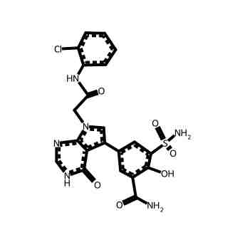 NC(=O)c1cc(-c2cn(CC(=O)Nc3ccccc3Cl)c3nc[nH]c(=O)c23)cc(S(N)(=O)=O)c1O